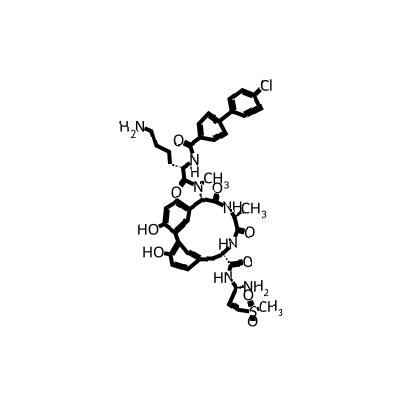 C[C@@H]1NC(=O)[C@@H](N(C)C(=O)[C@H](CCCCN)NC(=O)c2ccc(-c3ccc(Cl)cc3)cc2)c2ccc(O)c(c2)-c2cc(ccc2O)C[C@@H](C(=O)N[C@@H](N)/C=C\S(C)(=O)=O)NC1=O